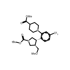 COC[C@H]1CN(C(=O)OC(C)(C)C)C[C@@H]1c1ccc(C(F)(F)F)cc1N1CCC(C(=O)OC)CC1